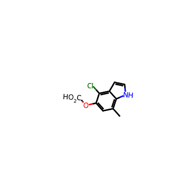 Cc1cc(OC(=O)O)c(Cl)c2cc[nH]c12